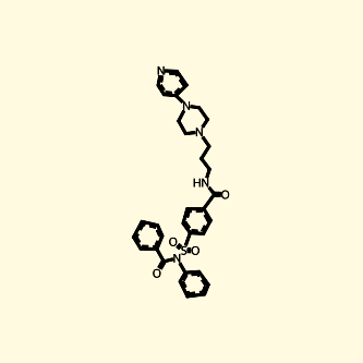 O=C(NCCCN1CCN(c2ccncc2)CC1)c1ccc(S(=O)(=O)N(C(=O)c2ccccc2)c2ccccc2)cc1